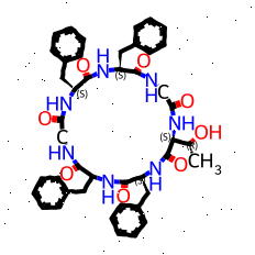 C[C@@H](O)[C@@H]1NC(=O)CNC(=O)[C@H](Cc2ccccc2)NC(=O)[C@H](Cc2ccccc2)NC(=O)CNC(=O)C(Cc2ccccc2)NC(=O)[C@H](Cc2ccccc2)NC1=O